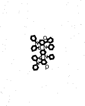 COc1cc2c3c(c1)N(c1ccccc1)c1cc4c(cc1B3c1ccccc1N2c1ccccc1)B1c2ccccc2N(c2ccccc2)c2cc3oc5ccccc5c3c(c21)N4c1ccccc1